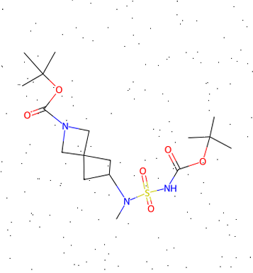 CN(C1CC2(C1)CN(C(=O)OC(C)(C)C)C2)S(=O)(=O)NC(=O)OC(C)(C)C